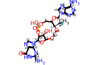 C[C@@H](OC1COP(=O)(O)OC2C(O)C(OCO[C@@H]1CF)OC2n1cnc2c(=O)[nH]c(N)nc21)n1cnc2c(N)ncnc21